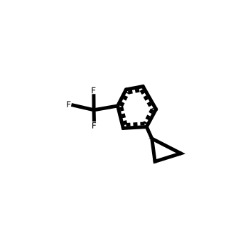 FC(F)(F)c1cccc([C]2CC2)c1